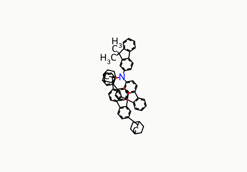 CC1(C)c2ccccc2-c2ccc(N(c3ccc4c(c3)C3(c5ccccc5-4)c4cc(C5CC6CCC5CC6)ccc4-c4ccc(C5CC6CCC5CC6)cc43)c3ccccc3-c3ccccc3)cc21